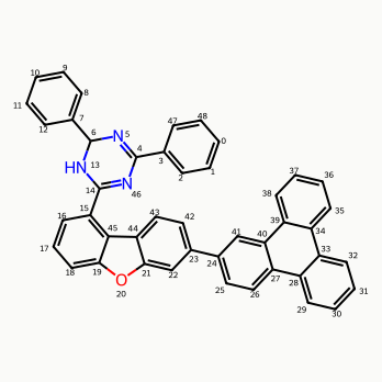 c1ccc(C2=NC(c3ccccc3)NC(c3cccc4oc5cc(-c6ccc7c8ccccc8c8ccccc8c7c6)ccc5c34)=N2)cc1